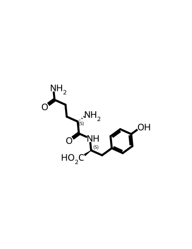 NC(=O)CC[C@H](N)C(=O)N[C@@H](Cc1ccc(O)cc1)C(=O)O